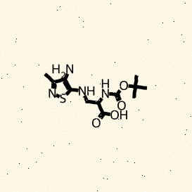 Cc1nsc(NCC(NC(=O)OC(C)(C)C)C(=O)O)c1N